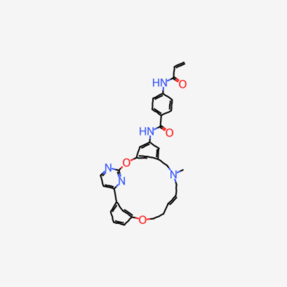 C=CC(=O)Nc1ccc(C(=O)Nc2cc3cc(c2)Oc2nccc(n2)-c2cccc(c2)OCC/C=C/CN(C)C3)cc1